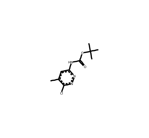 Cc1cc(NC(=O)OC(C)(C)C)nnc1Cl